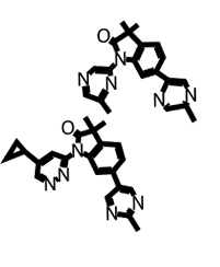 Cc1cnc(-c2ccc3c(c2)N(c2cncc(C)n2)C(=O)C3(C)C)cn1.Cc1ncc(-c2ccc3c(c2)N(c2cc(C4CC4)cnn2)C(=O)C3(C)C)cn1